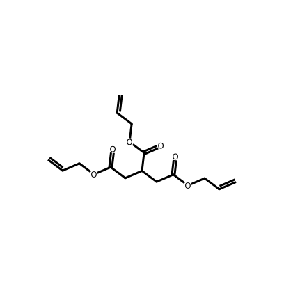 C=CCOC(=O)CC(CC(=O)OCC=C)C(=O)OCC=C